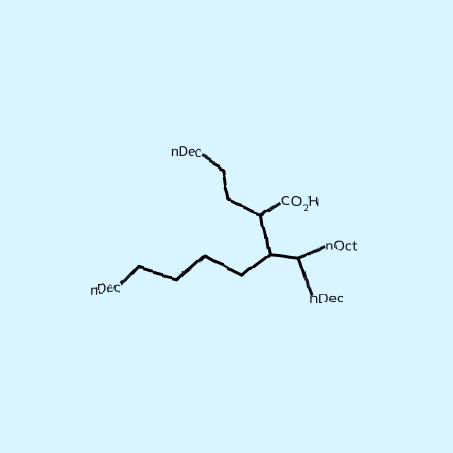 CCCCCCCCCCCCCCC(C(CCCCCCCC)CCCCCCCCCC)C(CCCCCCCCCCCC)C(=O)O